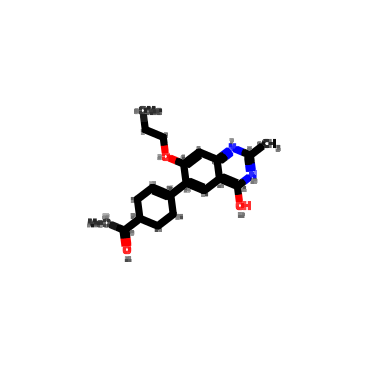 COCCOc1cc2nc(C)nc(O)c2cc1C1=CCC(C(=O)OC)CC1